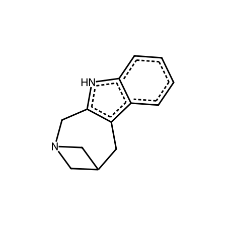 c1ccc2c3c([nH]c2c1)CN1CC(C3)C1